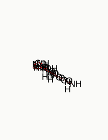 C=Cc1c(C)c2cc3nc(c4c5[nH]c(cc6nc(cc1[nH]2)C(C)=C6CC)c(C)c5C(=O)C4)C(CCC(=O)NC(CCCCNC(=O)COCC(=O)NCCCOCCOCCOCCCNC(=O)CCCNC)C(=O)O)[C@@H]3C